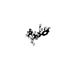 Cn1cc(NC(=O)c2c(N)nn3cc(C4CCCC(F)(F)C4)c(N)nc23)c(C(F)F)n1